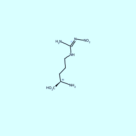 N/C(=N/[N+](=O)[O-])NCCC[C@@H](N)C(=O)O